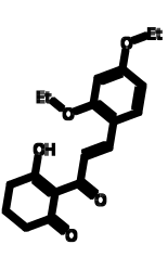 CCOc1ccc(C=CC(=O)C2=C(O)CCCC2=O)c(OCC)c1